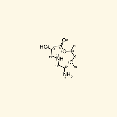 COCC(C)OC(C)=O.NCCNCCO